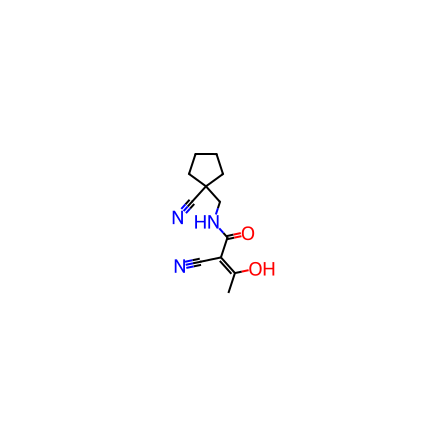 C/C(O)=C(\C#N)C(=O)NCC1(C#N)CCCC1